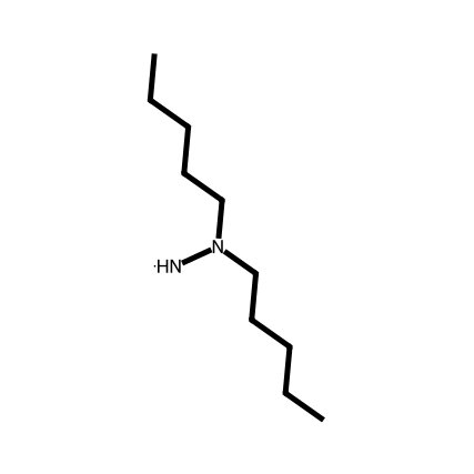 CCCCCN([NH])CCCCC